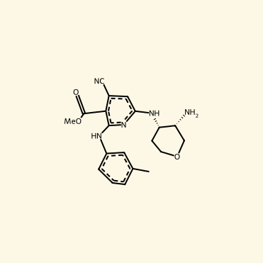 COC(=O)c1c(C#N)cc(N[C@H]2CCOC[C@H]2N)nc1Nc1cccc(C)c1